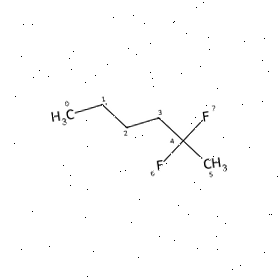 C[CH]CCC(C)(F)F